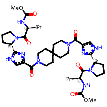 COC(=O)N[C@H](C(=O)N1CCC[C@H]1c1nc(C(=O)N2CCC3(CC2)CCN(C(=O)c2c[nH]c([C@@H]4CCCN4C(=O)[C@@H](NC(=O)OC)C(C)C)n2)CC3)c[nH]1)C(C)C